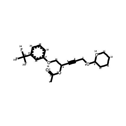 CC(=O)OC(C#CCOC1CCCCO1)COc1cccc(C(F)(F)F)c1